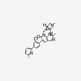 Cc1cccc(-c2ccc(-c3cc4cnc(C)nc4n(C[C@H]4[C@@H]5CN(C)C[C@@H]54)c3=O)c(Cl)c2)n1